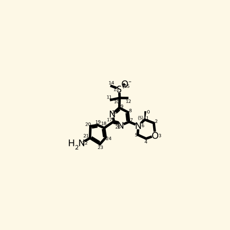 C[C@H]1COCCN1c1cc(C(C)(C)[S+](C)[O-])nc(-c2ccc(N)cc2)n1